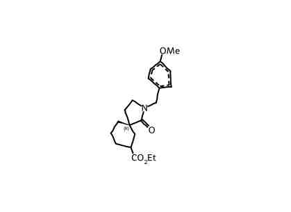 CCOC(=O)C1CCC[C@]2(CCN(Cc3ccc(OC)cc3)C2=O)C1